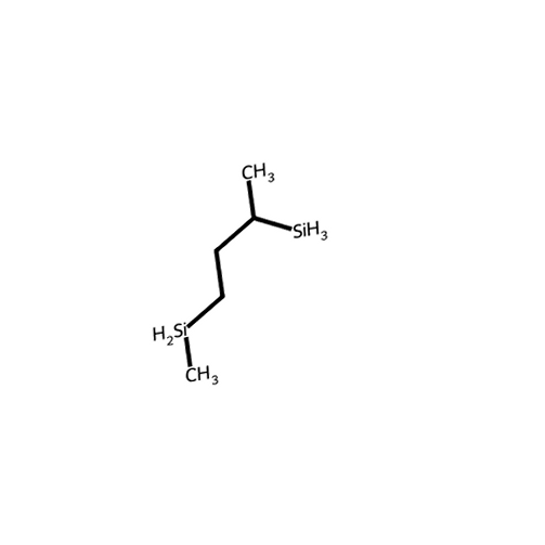 C[SiH2]CCC(C)[SiH3]